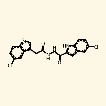 O=C(Cc1csc2ccc(Cl)cc12)NNC(=O)c1cc2cc(Cl)ccc2[nH]1